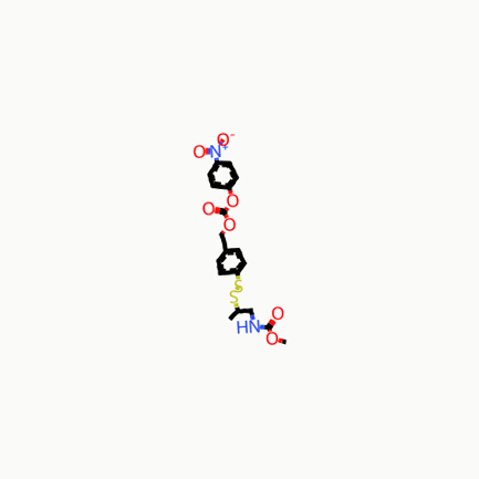 COC(=O)NCC(C)SSc1ccc(COC(=O)Oc2ccc([N+](=O)[O-])cc2)cc1